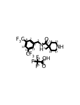 CC1(C(=O)NCc2cc(C(F)(F)F)cc(C(F)(F)F)c2)CCNCC1.O=C(O)C(F)(F)F